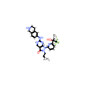 C=CCn1c(=O)c2cnc(Nc3ccc4c(c3)CCNC4)nc2n1-c1cccc(C(C)(O)C(F)(F)F)n1